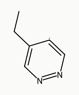 CCc1[c]cnnc1